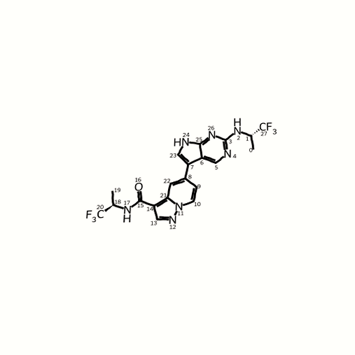 C[C@H](Nc1ncc2c(-c3ccn4ncc(C(=O)N[C@H](C)C(F)(F)F)c4c3)c[nH]c2n1)C(F)(F)F